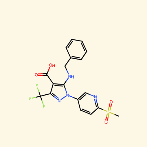 CS(=O)(=O)c1ccc(-n2nc(C(F)(F)F)c(C(=O)O)c2NCc2ccccc2)cn1